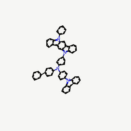 c1ccc(-c2ccc(N(c3ccc(-n4c5ccccc5c5ccccc54)cc3)c3ccc(-n4c5ccccc5c5cc6c(cc54)c4ccccc4n6-c4ccccc4)cc3)cc2)cc1